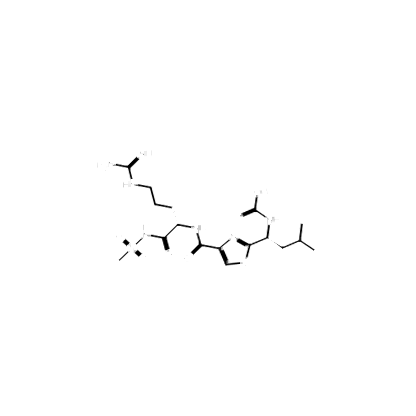 CC(C)C[C@H](NC(=O)O)c1nc(C(=O)N[C@@H](CCCNC(=N)N)C(=O)NS(C)(=O)=O)co1